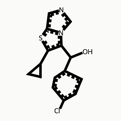 OC(c1ccc(Cl)cc1)c1c(C2CC2)sc2cncn12